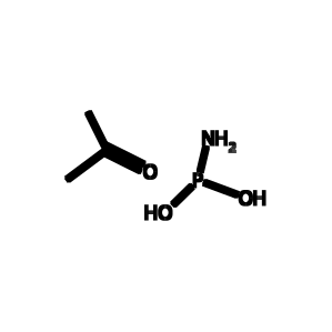 CC(C)=O.NP(O)O